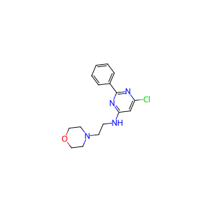 Clc1cc(NCCN2CCOCC2)nc(-c2ccccc2)n1